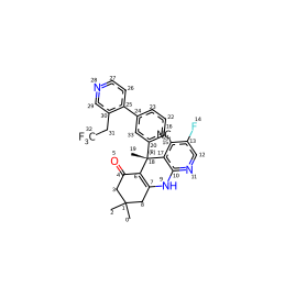 CC1(C)CC(=O)C2=C(C1)Nc1ncc(F)c(C#N)c1[C@@]2(C)c1cccc(-c2ccncc2CC(F)(F)F)c1